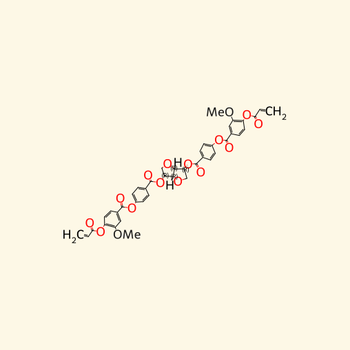 C=CC(=O)Oc1ccc(C(=O)Oc2ccc(C(=O)O[C@@H]3CO[C@H]4[C@@H]3OC[C@H]4OC(=O)c3ccc(OC(=O)c4ccc(OC(=O)C=C)c(OC)c4)cc3)cc2)cc1OC